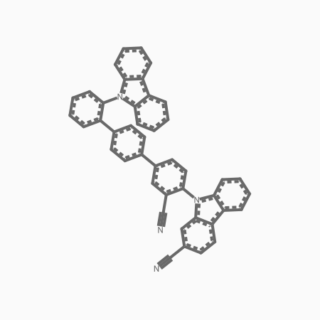 N#Cc1ccc2c3ccccc3n(-c3ccc(-c4ccc(-c5ccccc5-n5c6ccccc6c6ccccc65)cc4)cc3C#N)c2c1